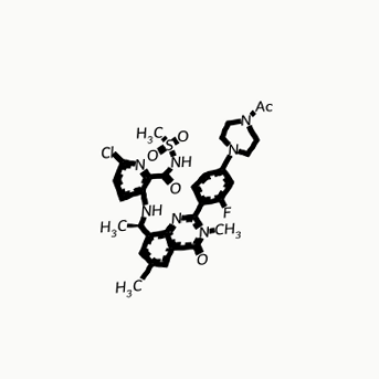 CC(=O)N1CCN(c2ccc(-c3nc4c([C@@H](C)Nc5ccc(Cl)nc5C(=O)NS(C)(=O)=O)cc(C)cc4c(=O)n3C)c(F)c2)CC1